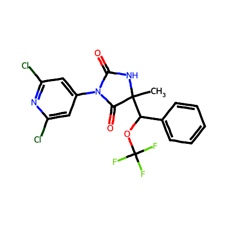 CC1(C(OC(F)(F)F)c2ccccc2)NC(=O)N(c2cc(Cl)nc(Cl)c2)C1=O